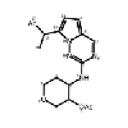 CC(=O)OC1COCCC1Nc1ncc2ccc(C(C)C(C)=O)n2n1